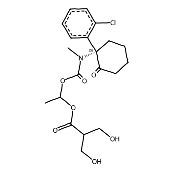 CC(OC(=O)C(CO)CO)OC(=O)N(C)[C@]1(c2ccccc2Cl)CCCCC1=O